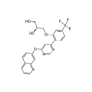 OC[C@H](O)COc1cc(C(F)(F)F)ccc1-c1cc(Oc2ccc3cccnc3c2)ncn1